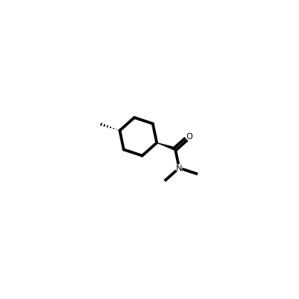 CN(C)C(=O)[C@H]1CC[C@H](C)CC1